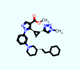 COC(=O)c1cnn(-c2cccc(N3CCC[C@@H](CCC4CCCCC4)C3)c2)c1[C@@H]1C[C@H]1c1cn(C)nn1